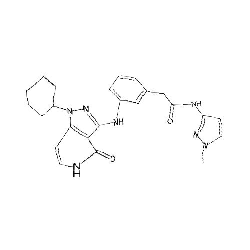 Cn1ccc(NC(=O)Cc2cccc(Nc3nn(C4CCCCC4)c4cc[nH]c(=O)c34)c2)n1